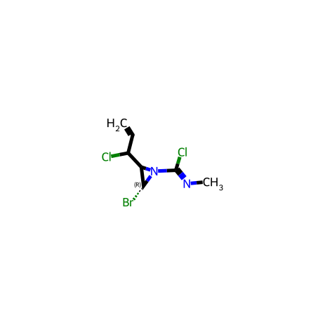 C=CC(Cl)C1[C@@H](Br)N1C(Cl)=NC